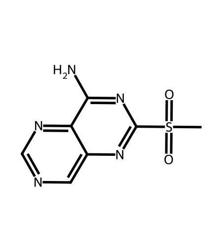 CS(=O)(=O)c1nc(N)c2ncncc2n1